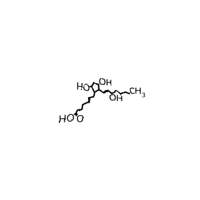 CCCCCC(O)C=CC1C(O)CC(O)C1CC=CCCCC(=O)O